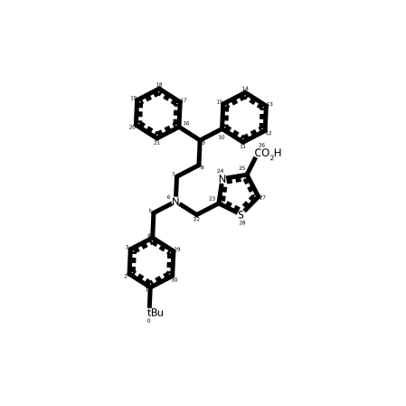 CC(C)(C)c1ccc(CN(CCC(c2ccccc2)c2ccccc2)Cc2nc(C(=O)O)cs2)cc1